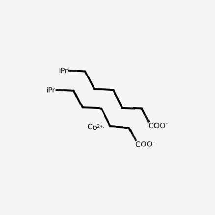 CC(C)CCCCCC(=O)[O-].CC(C)CCCCCC(=O)[O-].[Co+2]